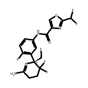 NC1=N[C@](CF)(c2cc(NC(=O)c3coc(C(F)F)n3)ccc2F)C(F)(F)CC1